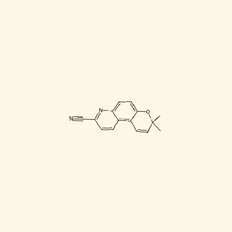 CC1(C)C=Cc2c(ccc3nc(C#N)ccc23)O1